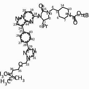 CC(C)C1CN(CC2CCN(C(=O)OC(C)(C)C)CC2)C(=O)N1c1ccn2ncc(-c3ccc(-c4ncn(COCC[Si](C)(C)C)n4)cc3)c2n1